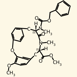 COC(=O)[C@@H]1Cc2ccc(OC)c(c2)Oc2ccc(cc2)C[C@H](N(C)C(=O)OCc2ccccc2)C(=O)N1C